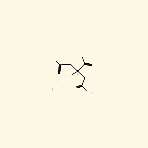 O=C(O)CC(O)(CC(=O)O)C(=O)O.[BiH3].[KH]